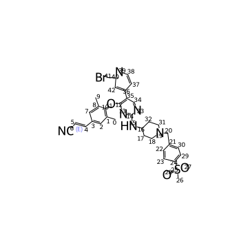 Cc1cc(/C=C/C#N)cc(C)c1Oc1nc(NC2CCN(Cc3ccc(S(C)(=O)=O)cc3)CC2)ncc1-c1ccnc(Br)c1